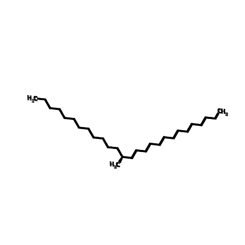 CCCCCCCCCCCCCC[C@@H](C)CCCCCCCCCCCC